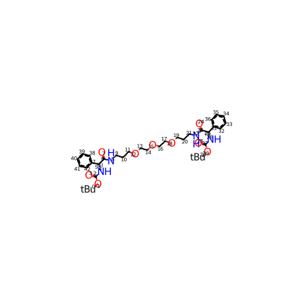 CC(C)(C)OC(=O)N[C@H](C(=O)NCCCOCCOCCOCCCNC(=O)[C@@H](NC(=O)OC(C)(C)C)c1ccccc1)c1ccccc1